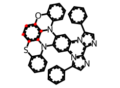 c1ccc(-c2cnc3c4ncc(-c5ccccc5)n4c4cc(N5c6ccccc6Sc6ccccc65)c(N5c6ccccc6Oc6ccccc65)cc4n23)cc1